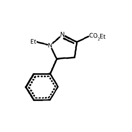 CCOC(=O)C1=NN(CC)C(c2ccccc2)C1